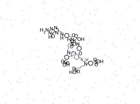 CC1(C)C(/C=C/C2=C(Oc3ccc(CC[C@@H](NC(=O)c4ccc(NCc5cnc6nc(N)[nH]c(=O)c6n5)cc4)C(=O)O)cc3)C(=C/C=C3/N(CCCCS(=O)(=O)O)c4ccc(S(=O)(=O)O)cc4C3(C)C)/CCC2)=[N+](CCCCS(=O)(=O)O)c2ccc(S(=O)(=O)O)cc21